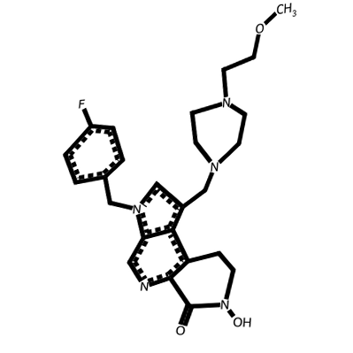 COCCN1CCN(Cc2cn(Cc3ccc(F)cc3)c3cnc4c(c23)CCN(O)C4=O)CC1